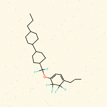 CCCC1=CC=C(OC(F)(F)C2CCC(C3CCC(CCC)CC3)CC2)C(F)(F)C1(F)F